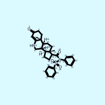 C[C@]12CCC(=O)C=C1NC[C@@H]1[C@H]2CC[C@]2(C)C(C(=O)N(c3ccccc3)S(=O)(=O)c3ccccc3)CC[C@@H]12